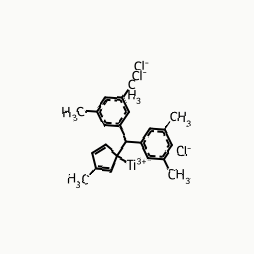 CC1=C[C]([Ti+3])(C(c2cc(C)cc(C)c2)c2cc(C)cc(C)c2)C=C1.[Cl-].[Cl-].[Cl-]